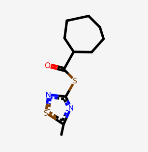 Cc1nc(SC(=O)C2CCCCCC2)ns1